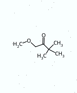 [CH2]OCC(=O)C(C)(C)C